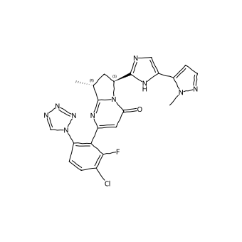 C[C@@H]1C[C@@H](c2ncc(-c3ccnn3C)[nH]2)n2c1nc(-c1c(-n3cnnn3)ccc(Cl)c1F)cc2=O